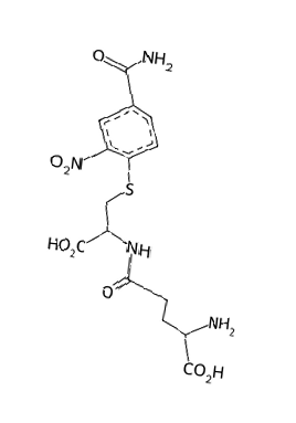 NC(=O)c1ccc(SCC(NC(=O)CCC(N)C(=O)O)C(=O)O)c([N+](=O)[O-])c1